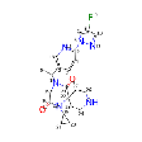 CC(c1ccc(-n2cc(F)cn2)nc1)N1CC(=O)N(C2CC2)C2(CCNCC2)C1=O